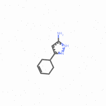 Nc1cc(C2CC=CCC2)n[nH]1